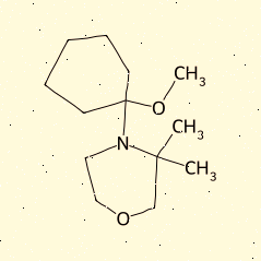 COC1(N2CCOCC2(C)C)CCCCC1